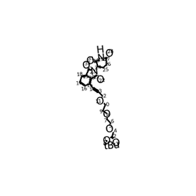 CC(C)(C)OC(=O)COCCOCCOCC#Cc1cccc2c1C(=O)N(C1CCC(=O)NC1=O)C2=O